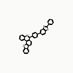 c1ccc(-c2nc3cc(-c4ccc(-c5nc6ccccc6c6c5ccc5c7ccccc7oc56)cc4)ccc3s2)cc1